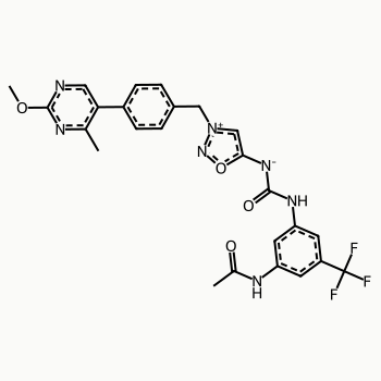 COc1ncc(-c2ccc(C[n+]3cc([N-]C(=O)Nc4cc(NC(C)=O)cc(C(F)(F)F)c4)on3)cc2)c(C)n1